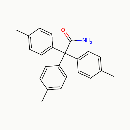 Cc1ccc(C(C(N)=O)(c2ccc(C)cc2)c2ccc(C)cc2)cc1